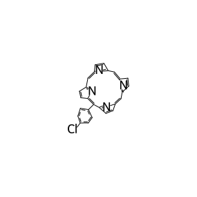 Clc1ccc(C2=C3C=CC(=N3)C=C3C=CC(=N3)C=C3C=CC(=N3)C=C3C=CC2=N3)cc1